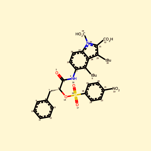 CC(C)(C)c1c(NC(=O)[C@@H](Cc2ccccc2)OS(=O)(=O)c2ccc([N+](=O)[O-])cc2)ccc2c1c(C(C)(C)C)c(C(=O)O)n2C(=O)O